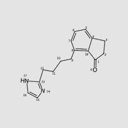 O=C1CCc2cccc(CCCCc3ncc[nH]3)c21